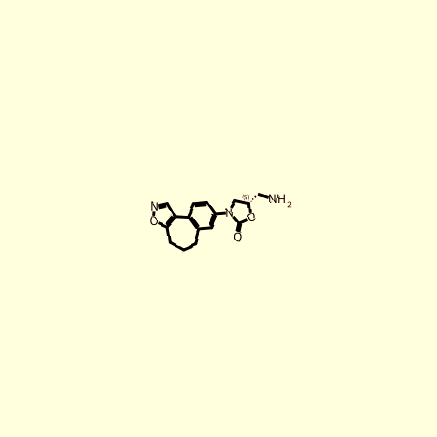 NC[C@H]1CN(c2ccc3c(c2)CCCc2oncc2-3)C(=O)O1